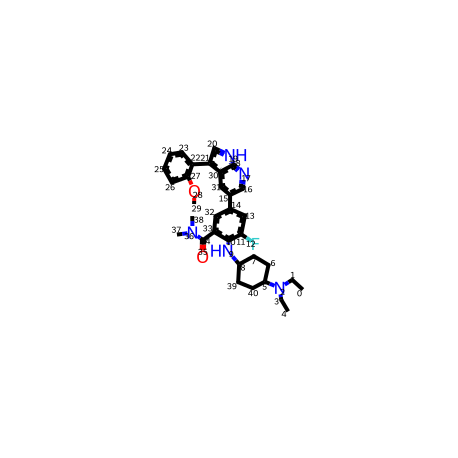 CCN(CC)C1CCC(Nc2c(F)cc(-c3cnc4[nH]cc(-c5ccccc5OC)c4c3)cc2C(=O)N(C)C)CC1